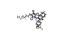 CCCCCN1C(=O)/C(=C/c2c(N3CCN(C)CC3)nc3ccccn3c2=O)SC1=S